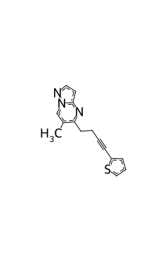 Cc1cn2nccc2nc1CCC#Cc1cccs1